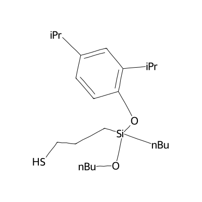 CCCCO[Si](CCCC)(CCCS)Oc1ccc(C(C)C)cc1C(C)C